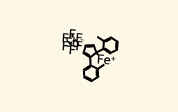 Cc1ccccc1C1=CC=C[C]1([Fe+])c1ccccc1C.[F][Sb-]([F])([F])([F])([F])[F]